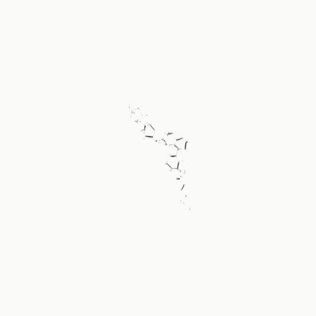 CN(C)C/C=C/C(=O)Nc1ccnc(-c2cccc3cnc(Nc4ccc(N5CCN(C)CC5)nc4)nc23)c1